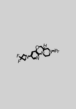 CC(C)N1CCN2c3ncc(N4CC(F)(F)C4)cc3OC[C@H]2C1